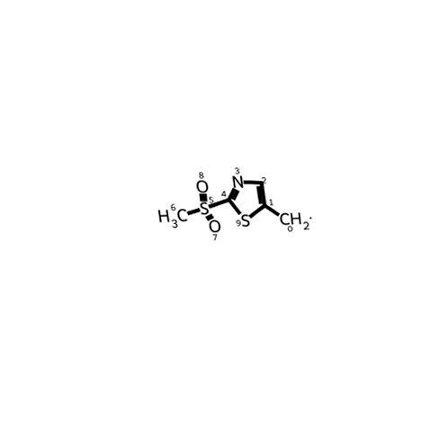 [CH2]c1cnc(S(C)(=O)=O)s1